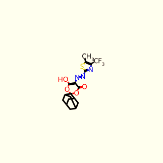 Cc1sc(N=NC2=C(O)OC3(OC2=O)C2CC4CC(C2)CC3C4)nc1C(F)(F)F